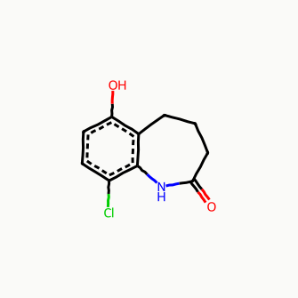 O=C1CCCc2c(O)ccc(Cl)c2N1